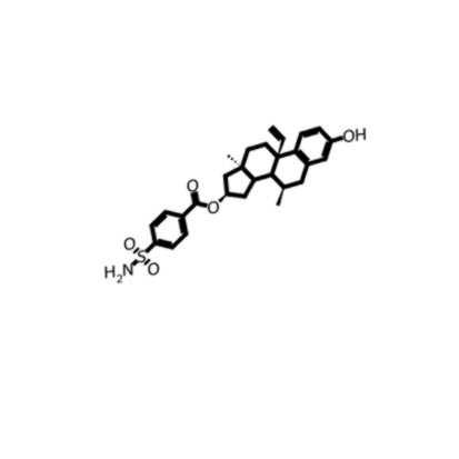 C=C[C@]12CC[C@]3(C)C[C@H](OC(=O)c4ccc(S(N)(=O)=O)cc4)CC3C1[C@H](C)Cc1cc(O)ccc12